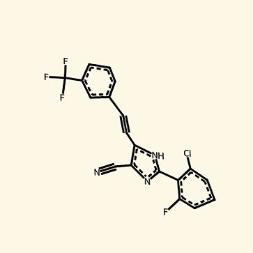 N#Cc1nc(-c2c(F)cccc2Cl)[nH]c1C#Cc1cccc(C(F)(F)F)c1